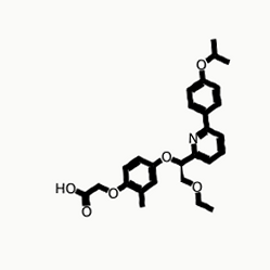 CCOC[C@@H](Oc1ccc(OCC(=O)O)c(C)c1)c1cccc(-c2ccc(OC(C)C)cc2)n1